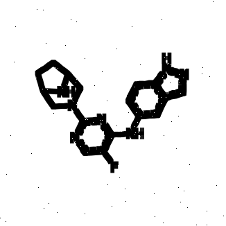 Fc1cnc(N2CC3CCC(C2)N3)nc1Nc1ccc2[nH]ncc2c1